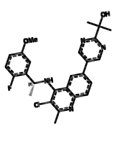 COc1ccc(F)c([C@@H](C)Nc2c(Cl)c(C)nc3ccc(-c4cnc(C(C)(C)O)nc4)cc23)c1